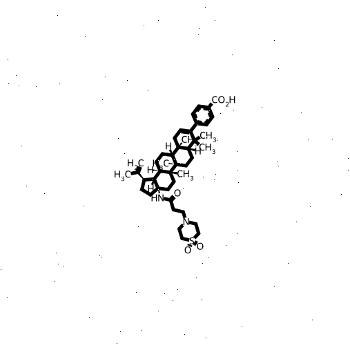 C=C(C)[C@@H]1CC[C@]2(NC(=O)CCN3CCS(=O)(=O)CC3)CC[C@]3(C)[C@H](CC[C@@H]4[C@@]5(C)CC=C(c6ccc(C(=O)O)cc6)C(C)(C)[C@@H]5CC[C@]43C)[C@@H]12